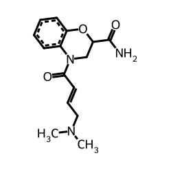 CN(C)C/C=C/C(=O)N1CC(C(N)=O)Oc2ccccc21